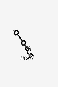 C[C@H](O)c1nccn1Cc1cc(-c2ccc(C#Cc3cc[c]cc3)cc2)on1